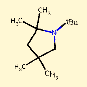 CC1(C)CN(C(C)(C)C)C(C)(C)C1